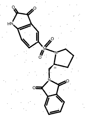 O=C1Nc2ccc(S(=O)(=O)N3CCC[C@H]3CN3C(=O)c4ccccc4C3=O)cc2C1=O